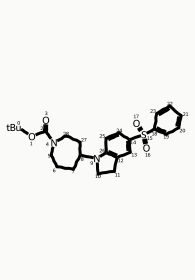 CC(C)(C)OC(=O)N1CCCC(N2CCc3cc(S(=O)(=O)c4ccccc4)ccc32)CC1